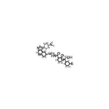 CN(C)C1CCC(n2cnc3cnc4ccc(C#CCNC(=O)c5cccn([C@@H](CO)c6cccc(F)c6)c5=O)cc4c32)CC1